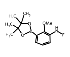 COc1c(NF)cccc1B1OC(C)(C)C(C)(C)O1